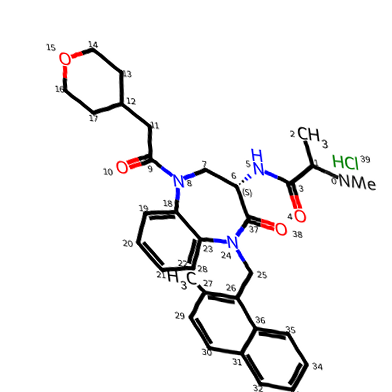 CNC(C)C(=O)N[C@H]1CN(C(=O)CC2CCOCC2)c2ccccc2N(Cc2c(C)ccc3ccccc23)C1=O.Cl